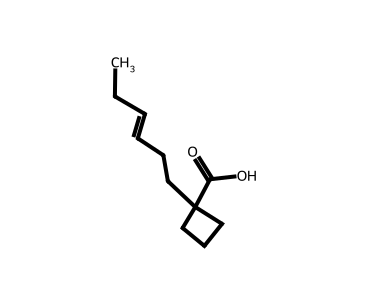 CCC=CCCC1(C(=O)O)CCC1